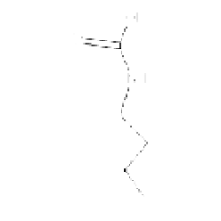 O=C(O)NCCCF